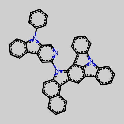 c1ccc(-n2c3ccccc3c3cc(-n4c5ccc6ccccc6c5c5cc6c7ccccc7n7c8ccccc8c(c54)c67)ncc32)cc1